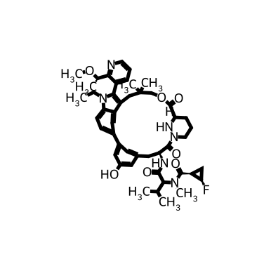 CCn1c(-c2cccnc2[C@H](C)OC)c2c3cc(ccc31)-c1cc(O)cc(c1)C[C@H](NC(=O)C(C(C)C)N(C)C(=O)[C@H]1C[C@H]1F)C(=O)N1CCC[C@H](N1)C(=O)OCC(C)(C)C2